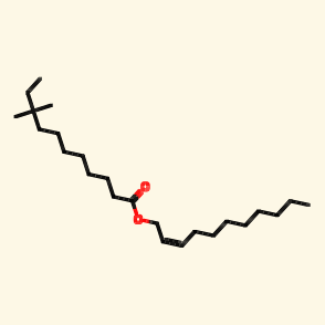 CCCCCCCC/C=C\COC(=O)CCCCCCCC(C)(C)CC